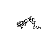 COCCC1CCN(C(=O)c2sc(N3CCC(N4CCc5ccccc5NC4=O)CC3)nc2C)CC1